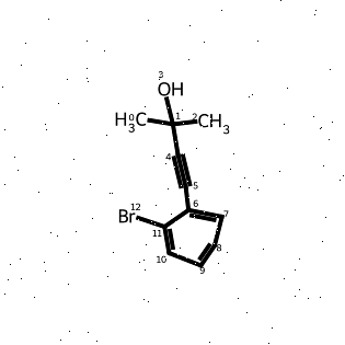 CC(C)(O)C#Cc1ccccc1Br